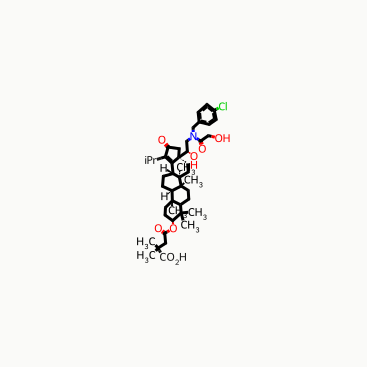 CC(C)C1=C2[C@H]3CC[C@@H]4[C@@]5(C)CC[C@H](OC(=O)CC(C)(C)C(=O)O)C(C)(C)C5CC[C@@]4(C)[C@]3(C)CC[C@@]2([C@@H](O)CN(Cc2ccc(Cl)cc2)C(=O)CO)CC1=O